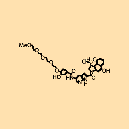 COCCOCCOCCOCCOc1ccc(C(=O)Nc2cnc3[nH]c(C(=O)N4C[C@@H](CCl)c5c4cc(O)c4cccc(C)c54)cc3c2)cc1O